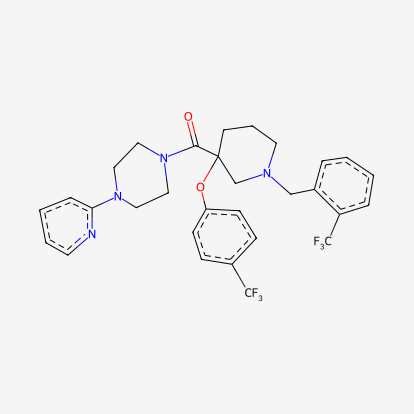 O=C(N1CCN(c2ccccn2)CC1)C1(Oc2ccc(C(F)(F)F)cc2)CCCN(Cc2ccccc2C(F)(F)F)C1